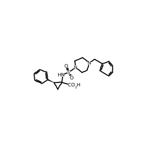 O=C(O)C1(NS(=O)(=O)N2CCN(Cc3ccccc3)CC2)C[C@H]1c1ccccc1